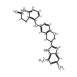 Cc1cc(C)c2[nH]c(C3COc4ccc(Oc5ccnc6c5CCC(=O)N6)cc4C3)nc2c1